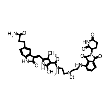 CCN(CCNC(=O)c1c(C)[nH]c(/C=C2\C(=O)Nc3ccc(CCC(N)=O)cc32)c1C)CCNc1cccc2c1C(=O)N(C1CCC(=O)NC1=O)C2=O